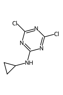 Clc1nc(Cl)nc(NC2CC2)n1